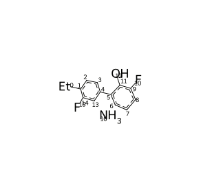 CCc1ccc(-c2cccc(F)c2O)cc1F.N